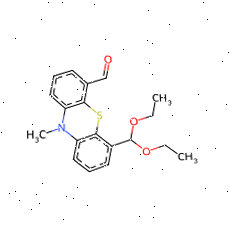 CCOC(OCC)c1cccc2c1Sc1c(C=O)cccc1N2C